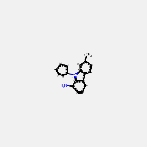 Cc1ccc2c3cc#cc(N)c3n(-c3ccccc3)c2c1